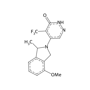 COc1cccc2c1CN(c1cn[nH]c(=O)c1C(F)(F)F)C2C